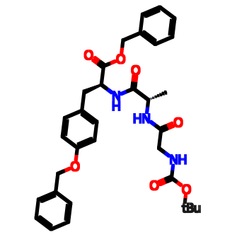 C[C@H](NC(=O)CNC(=O)OC(C)(C)C)C(=O)N[C@@H](Cc1ccc(OCc2ccccc2)cc1)C(=O)OCc1ccccc1